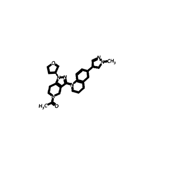 CC(=O)N1CCc2c(c(N3CCCC4=C3C=CC(C3C=NN(C)C3)C4)nn2[C@H]2CCOC2)C1